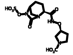 O=C(NO[C@H]1CCN(C(=O)O)C1)[C@@H]1CCC2CN1C(=O)N2OS(=O)(=O)O